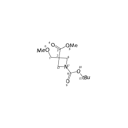 COCC1(C(=O)OC)CN(C(=O)OC(C)(C)C)C1